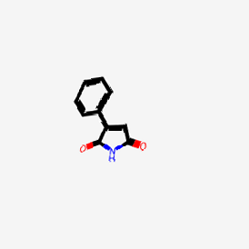 O=C1C=C(c2ccccc2)C(=O)N1